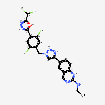 CCNc1ncc2cc(-c3cn(Cc4cc(F)c(-c5nnc(C(F)F)o5)cc4F)nn3)ccc2n1